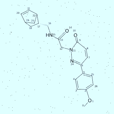 COc1ccc(-c2ccc(=O)n(CC(=O)NC[C@@H]3CC4C=CC3C4)n2)cc1